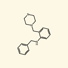 c1ccc(CNc2ccccc2CN2CC[N]CC2)cc1